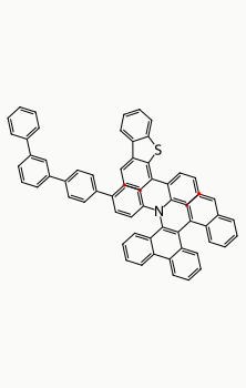 c1ccc(-c2cccc(-c3ccc(-c4ccc(N(c5ccccc5-c5cccc6c5sc5ccccc56)c5c(-c6cccc7ccccc67)c6ccccc6c6ccccc56)cc4)cc3)c2)cc1